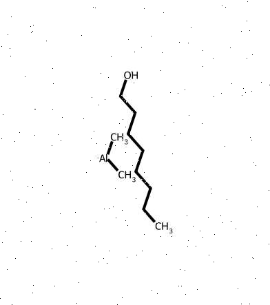 CCCCCCCCO.[CH3][Al][CH3]